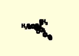 COCCN1C(=O)N(Cc2cccc(OC)c2)C(=O)C12CCN(Cc1cccc(-c3ccoc3)c1)CC2